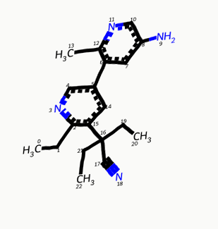 CCc1ncc(-c2cc(N)cnc2C)cc1C(C#N)(CC)CC